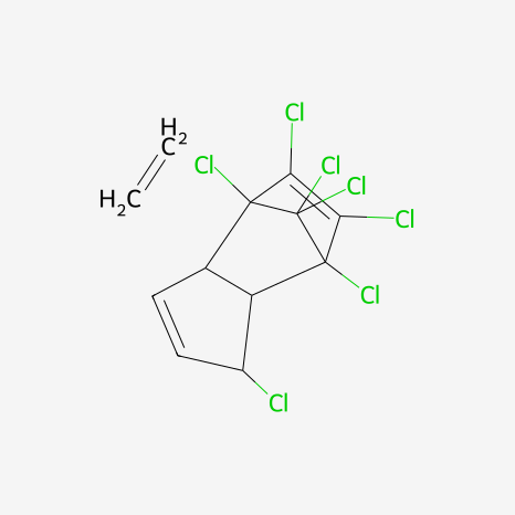 C=C.ClC1=C(Cl)C2(Cl)C3C(Cl)C=CC3C1(Cl)C2(Cl)Cl